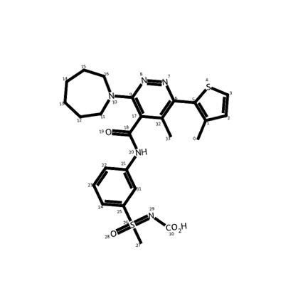 Cc1ccsc1-c1nnc(N2CCCCCC2)c(C(=O)Nc2cccc(S(C)(=O)=NC(=O)O)c2)c1C